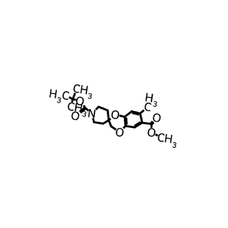 COC(=O)c1cc2c(cc1C)OC1(CCN(C(=O)OC(C)(C)C)CC1)CO2